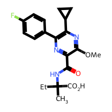 CCC(C)(NC(=O)c1nc(-c2ccc(F)cc2)c(C2CC2)nc1OC)C(=O)O